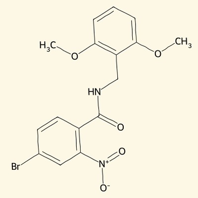 COc1cccc(OC)c1CNC(=O)c1ccc(Br)cc1[N+](=O)[O-]